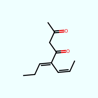 C/C=C\C(=C/CC)C(=O)CC(C)=O